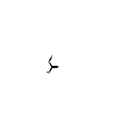 FOC(=S)S